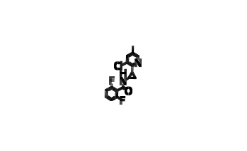 Cc1cnc(C2C[C@H]2NC(=O)c2c(F)cccc2F)c(Cl)c1